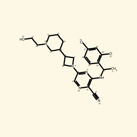 CC(Nc1nc(N2CC(C3CCCN(CCO)C3)C2)cnc1C#N)c1ccc(Cl)cc1Cl